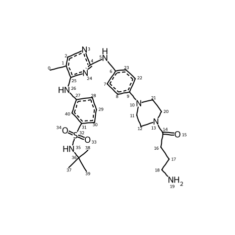 Cc1cnc(Nc2ccc(N3CCN(C(=O)CCCN)CC3)cc2)nc1Nc1cccc(S(=O)(=O)NC(C)(C)C)c1